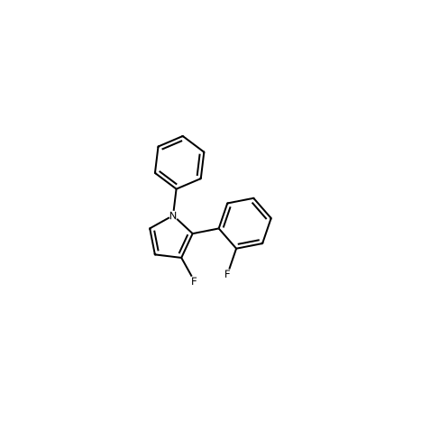 Fc1ccccc1-c1c(F)ccn1-c1ccccc1